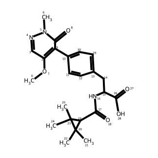 COc1cnn(C)c(=O)c1-c1ccc(CC(NC(=O)C2C(C)(C)C2(C)C)C(=O)O)cc1